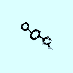 Nc1nnc(-c2ccc(-c3ccccc3)cc2)s1